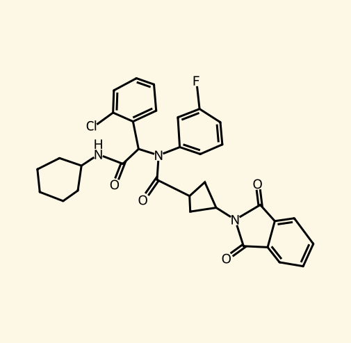 O=C(NC1CCCCC1)C(c1ccccc1Cl)N(C(=O)C1CC(N2C(=O)c3ccccc3C2=O)C1)c1cccc(F)c1